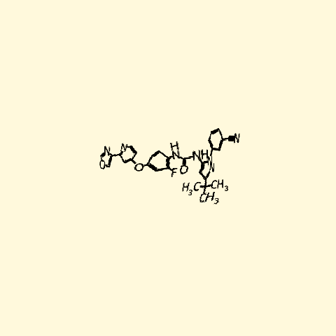 CC(C)(C)c1cc(NC(=O)Nc2ccc(Oc3ccnc(-c4cocn4)c3)cc2F)n(-c2cccc(C#N)c2)n1